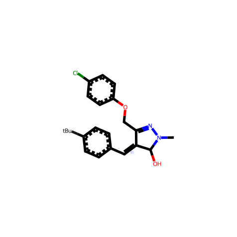 CN1N=C(COc2ccc(Cl)cc2)/C(=C\c2ccc(C(C)(C)C)cc2)C1O